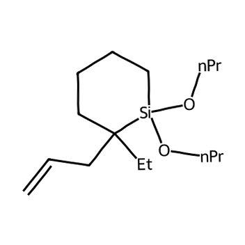 C=CCC1(CC)CCCC[Si]1(OCCC)OCCC